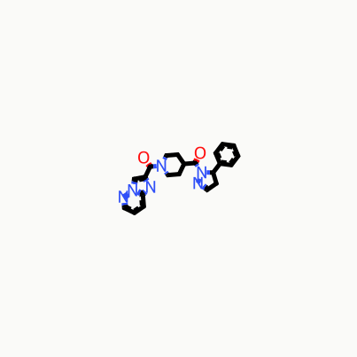 O=C(c1cn2ncccc2n1)N1CCC(C(=O)N2N=CCC2c2ccccc2)CC1